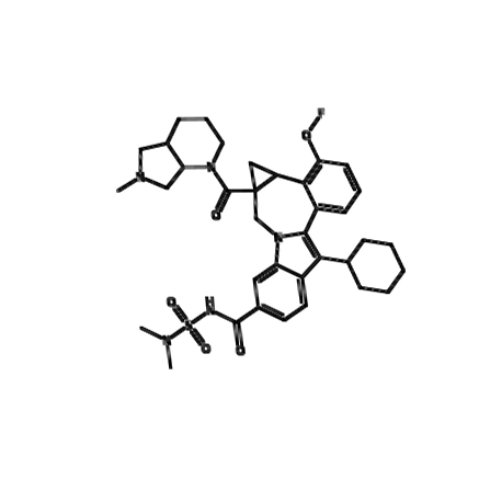 CN1CC2CCCN(C(=O)C34CC3c3c(OF)cccc3-c3c(C5CCCCC5)c5ccc(C(=O)NS(=O)(=O)N(C)C)cc5n3C4)C2C1